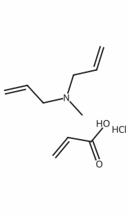 C=CC(=O)O.C=CCN(C)CC=C.Cl